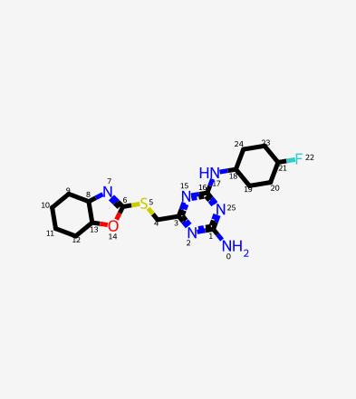 Nc1nc(CSC2=NC3CCCCC3O2)nc(NC2CCC(F)CC2)n1